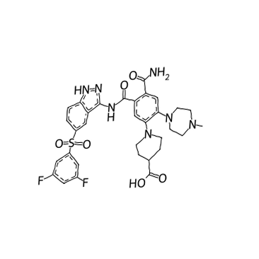 CN1CCN(c2cc(C(N)=O)c(C(=O)Nc3n[nH]c4ccc(S(=O)(=O)c5cc(F)cc(F)c5)cc34)cc2N2CCC(C(=O)O)CC2)CC1